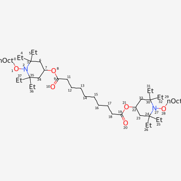 CCCCCCCCON1C(CC)(CC)CC(OC(=O)CCCCCCCCC(=O)OC2CC(CC)(CC)N(OCCCCCCCC)C(CC)(CC)C2)CC1(CC)CC